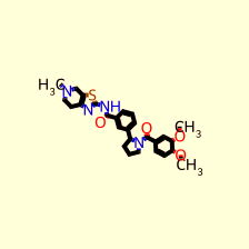 COC1C=CC(C(=O)N2CCCC2c2cccc(C(=O)Nc3nc4c(s3)CN(C)CC4)c2)=CC1OC